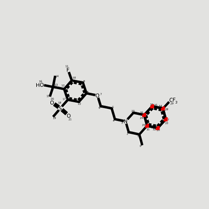 CC(CN(CCCOc1cc(F)c(C(C)(C)O)c(S(C)(=O)=O)c1)Cc1cccc(C(F)(F)F)c1)c1ccccc1